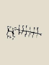 C=C(CC)C(=O)OC(F)(F)C(F)(Cl)C(F)(F)C(F)(F)C(F)(F)C(F)(F)F